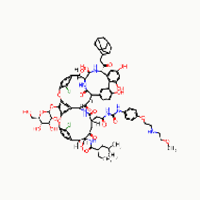 CC[C@H](CC(C)C)C(=O)N[C@H]1C(=O)C[C@@H](CC(=O)NC(=O)Nc2ccc(OCCNCCOC)cc2)C(=O)N[C@H]2C(=O)C[C@H]3C(=O)N[C@H](C(=O)N[C@H](C(=O)CC4C5CC6CC(C5)CC4C6)c4cc(O)cc(O)c4-c4cc3ccc4O)[C@H](O)c3ccc(c(Cl)c3)Oc3cc2cc(c3O[C@@H]2O[C@H](CO)[C@@H](O)[C@H](O)[C@H]2O)Oc2ccc(cc2Cl)[C@H]1O